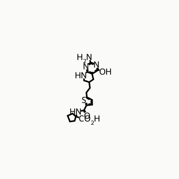 Nc1nc(O)c2c(n1)NCC(CCc1ccc(C(=O)NC3(C(=O)O)CCCC3)s1)C2